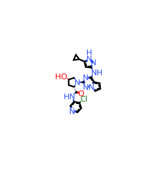 O=C(Nc1cnccc1Cl)[C@@H]1C[C@H](O)CN1c1nc(Nc2cc(C3CC3)[nH]n2)c2cccn2n1